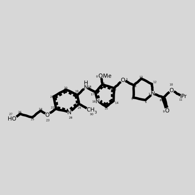 COc1c(OC2CCN(C(=O)OC(C)C)CC2)ccnc1Nc1ccc(OCCCO)nc1C